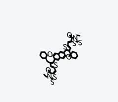 CCN1C(=O)/C(=C/c2cc3c(s2)C2=CC4C=C5OC6CCCCC6Cc6cc(/C=C7/SC(=S)N(CC)C7=O)sc6C5=CC4C=C2OC32CCCCC2)SC1=S